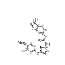 CCn1ncc2cc(CC(=O)Nc3cnn(Cc4ccc(OC)c(F)c4)n3)ccc21